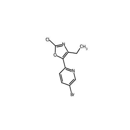 CCc1nc(Cl)oc1-c1ccc(Br)cn1